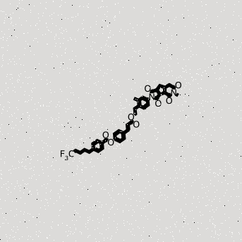 Cc1cc(N2C(=O)C3CC4CC(=O)N(C)C(=O)C4C3C2=O)ccc1CCOC(=O)/C=C/c1ccc(OC(=O)c2ccc(CCCCC(F)(F)F)cc2)cc1